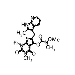 CON(C)C(=O)Oc1c(Cc2c(C)[nH]c3ncccc23)sc2c1c(=O)n(C)c(=O)n2C(C)C